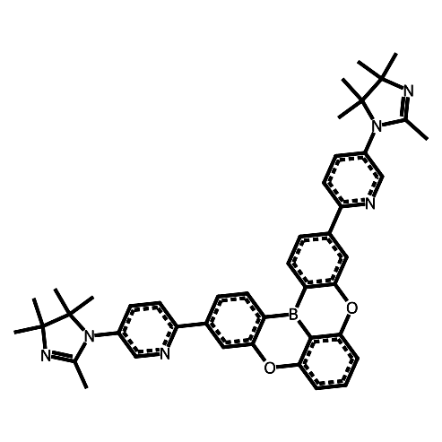 CC1=NC(C)(C)C(C)(C)N1c1ccc(-c2ccc3c(c2)Oc2cccc4c2B3c2ccc(-c3ccc(N5C(C)=NC(C)(C)C5(C)C)cn3)cc2O4)nc1